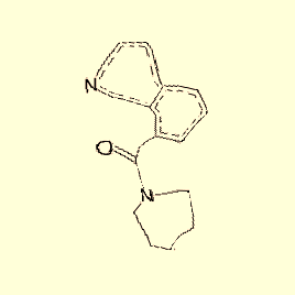 O=C(c1cccc2ccncc12)N1CC[CH]CC1